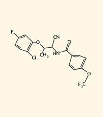 CC(Oc1cc(F)ccc1Cl)C(C#N)NC(=O)c1ccc(OC(F)(F)F)cc1